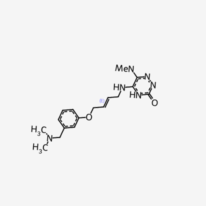 CNc1nnc(=O)[nH]c1NC/C=C/COc1cccc(CN(C)C)c1